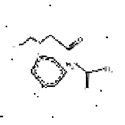 CCCCC=O.NC(N)=O.c1cncnc1